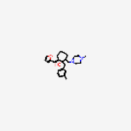 Cc1cccc(CC2(O)C(=Cc3ccco3)CCCCC2CN2CCN(C)CC2)c1